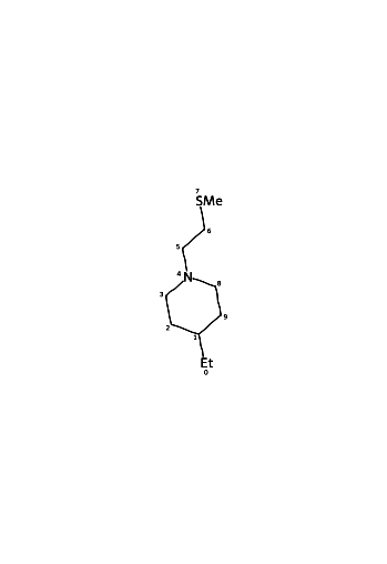 CCC1CCN(CCSC)CC1